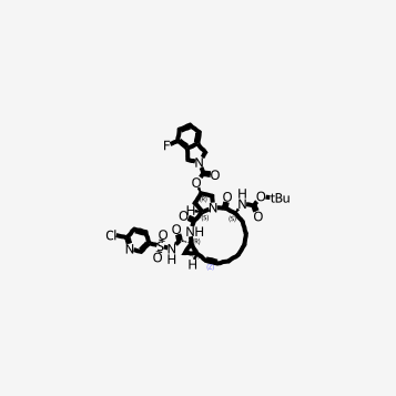 CC(C)(C)OC(=O)N[C@H]1CCCCC/C=C\[C@@H]2C[C@@]2(C(=O)NS(=O)(=O)c2ccc(Cl)nc2)NC(=O)[C@@H]2C[C@@H](OC(=O)N3Cc4cccc(F)c4C3)CN2C1=O